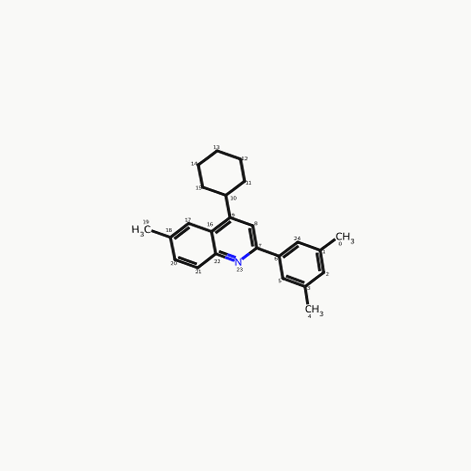 Cc1cc(C)cc(-c2cc(C3CCCCC3)c3cc(C)ccc3n2)c1